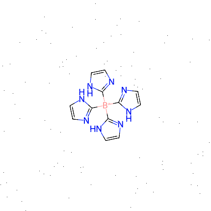 c1c[nH]c([B-](c2ncc[nH]2)(c2ncc[nH]2)c2ncc[nH]2)n1